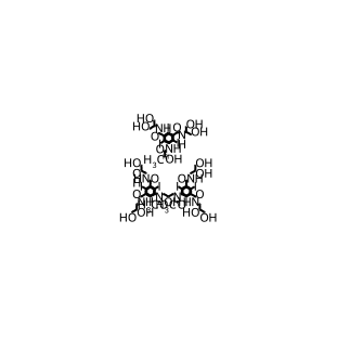 CC(=O)N(CC(O)CN(C(C)=O)c1c(I)c(C(=O)NCC(O)CO)c(I)c(C(=O)NCC(O)CO)c1I)c1c(I)c(C(=O)NCC(O)CO)c(I)c(C(=O)NCC(O)CO)c1I.C[C@H](O)C(=O)Nc1c(I)c(C(=O)NC(CO)CO)c(I)c(C(=O)NC(CO)CO)c1I